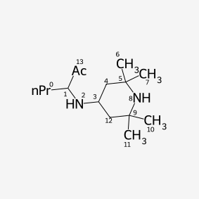 CCCC(NC1CC(C)(C)NC(C)(C)C1)C(C)=O